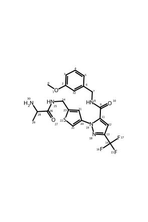 COc1cccc(CNC(=O)c2cc(C(F)(F)F)nn2-c2csc(CNC(=O)C(C)N)c2)c1